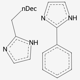 CCCCCCCCCCCc1ncc[nH]1.c1ccc(-c2ncc[nH]2)cc1